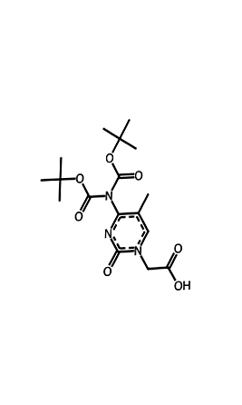 Cc1cn(CC(=O)O)c(=O)nc1N(C(=O)OC(C)(C)C)C(=O)OC(C)(C)C